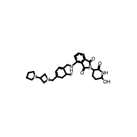 O=C1NC(O)CCC1N1C(=O)c2cccc(NCC3=CC=C(CN4CC(N5CCCC5)C4)CC3F)c2C1=O